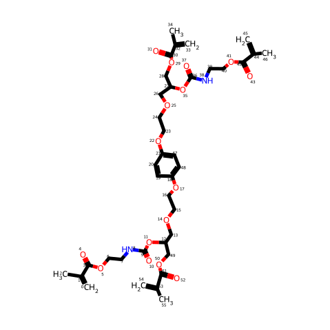 C=C(C)C(=O)OCCNC(=O)OC(COCCOc1ccc(OCCOCC(COC(=O)C(=C)C)OC(=O)NCCOC(=O)C(=C)C)cc1)COC(=O)C(=C)C